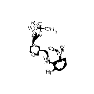 CC(C)(C)OC(=O)N1CCOCC(CNc2c(Br)cccc2[N+](=O)[O-])C1